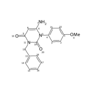 COc1ccc(-n2c(N)cc(=O)n(Cc3ccccc3)c2=O)cc1